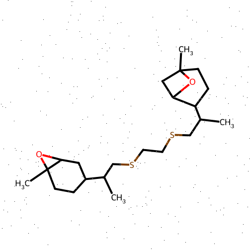 CC(CSCCSCC(C)C1CCC2(C)CC1O2)C1CCC2(C)OC2C1